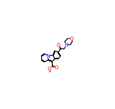 COC(=O)c1c2ccc(C(=O)CN3CCOCC3)cc2n2ccccc12